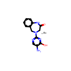 CC[C@H](C)C1C(=O)Nc2ccccc2CN1c1ncc(N)c(O)n1